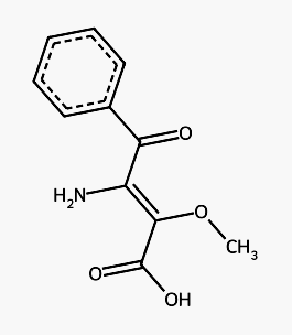 COC(C(=O)O)=C(N)C(=O)c1ccccc1